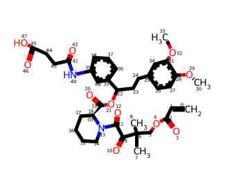 C=CC(=O)OCC(C)(C)C(=O)C(=O)N1CCCC[C@H]1C(=O)OC(CCc1ccc(OC)c(OC)c1)c1cccc(NC(=O)CCC(=O)O)c1